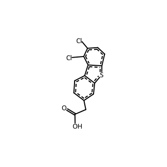 O=C(O)Cc1ccc2c(c1)sc1ccc(Cl)c(Cl)c12